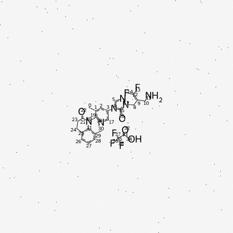 Cc1cc(-n2cnn(CC(CN)=C(F)F)c2=O)cnc1N1C(=O)CCc2cccc(C)c21.O=C(O)C(F)(F)F